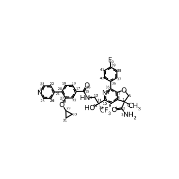 C[C@]1(C(N)=O)COc2c1cc([C@@](O)(CNC(=O)c1ccc(-c3ccncc3)c(OC3CC3)c1)C(F)(F)F)nc2-c1ccc(F)cc1